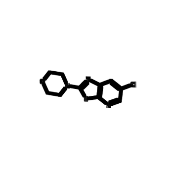 Clc1cnc2sc(N3CCOCC3)nc2c1